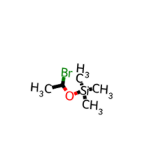 CC(Br)O[Si](C)(C)C